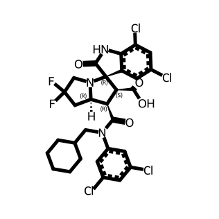 O=C(O)[C@H]1[C@@H](C(=O)N(CC2CCCCC2)c2cc(Cl)cc(Cl)c2)[C@H]2CC(F)(F)CN2[C@]12C(=O)Nc1c(Cl)cc(Cl)cc12